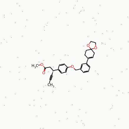 CC#C[C@@H](CC(=O)OC)c1ccc(OCc2cccc(C3=CCC4(CC3)OCCO4)c2)cc1